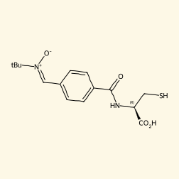 CC(C)(C)[N+]([O-])=Cc1ccc(C(=O)N[C@@H](CS)C(=O)O)cc1